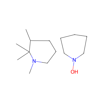 CC1CCCN(C)C1(C)C.ON1CCCCC1